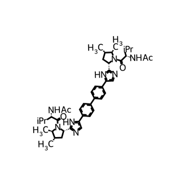 CC(=O)N[C@H](C(=O)N1[C@H](C)[C@H](C)C[C@H]1c1ncc(-c2ccc(-c3ccc(-c4cnc([C@@H]5C[C@@H](C)[C@@H](C)N5C(=O)[C@@H](NC(C)=O)C(C)C)[nH]4)cc3)cc2)[nH]1)C(C)C